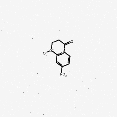 O=C1CC[S+]([O-])c2cc([N+](=O)[O-])ccc21